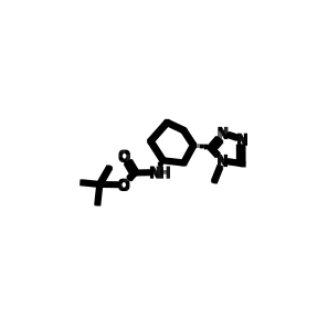 Cn1cnnc1[C@H]1CCC[C@@H](NC(=O)OC(C)(C)C)C1